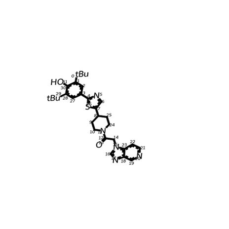 CC(C)(C)c1cc(-c2ncc(C3CCN(C(=O)Cn4cnc5cnccc54)CC3)s2)cc(C(C)(C)C)c1O